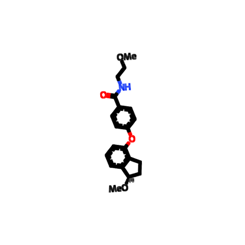 COCCNC(=O)c1ccc(Oc2cccc3c2CC[C@H]3OC)cc1